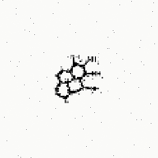 Nc1c(N)c2ccc3cccc4cc(N)c(c1N)c2c34